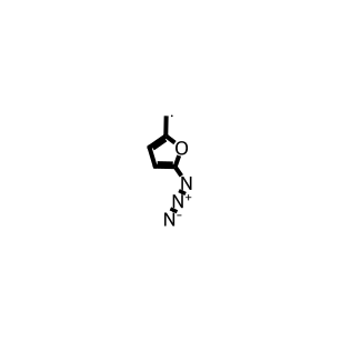 [CH2]c1ccc(N=[N+]=[N-])o1